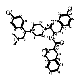 CN(C)CC(c1ccc(Cl)cc1)N1CCN(C(=O)[C@@H](Cc2ccc(Cl)cc2)NC(=O)C2Cc3ccccc3CN2)CC1